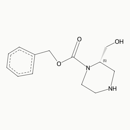 O=C(OCc1ccccc1)N1CCNC[C@H]1CO